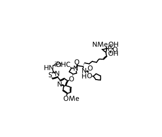 CNC1(P(=O)(O)O)CC1/C=C\CCCCC[C@H](NC(=O)OC1CCCC1)C(=O)N1C[C@H](Oc2cc(-c3csc(NC(C)C)n3)nc3cc(OC)ccc23)C[C@H]1C=O